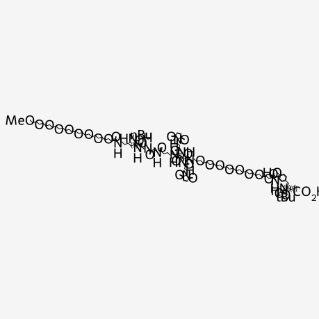 CCCCNC(=O)[C@H](CCCCNC(=O)COCCOCCOCCOCCOCCOCCOCCOCCOC)NC(=O)CNC(=O)CNC(=O)CCCNC(=O)[C@@H](NC(=O)CCN1C(=O)C=CC1=O)[C@H](NC(=O)CCN1C(=O)C=CC1=O)C(=O)NCCOCCOCCOCCOCCOCCOCCOCCOC(=O)Nc1cc(C[C@@H](C[C@H](C)C(=O)O)NC(=O)OC(C)(C)C)ccc1O